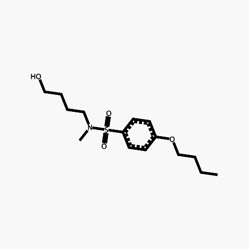 CCCCOc1ccc(S(=O)(=O)N(C)CCCCO)cc1